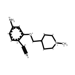 CN1CCC(COc2cc(N)ccc2C#N)CC1